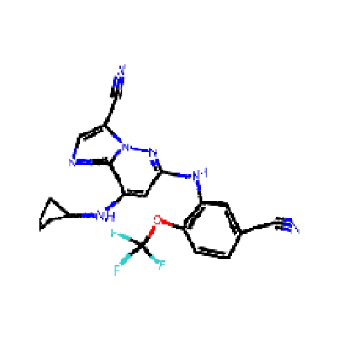 N#Cc1ccc(OC(F)(F)F)c(Nc2cc(NC3CC3)c3ncc(C#N)n3n2)c1